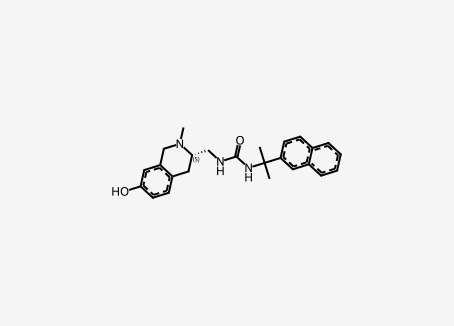 CN1Cc2cc(O)ccc2C[C@H]1CNC(=O)NC(C)(C)c1ccc2ccccc2c1